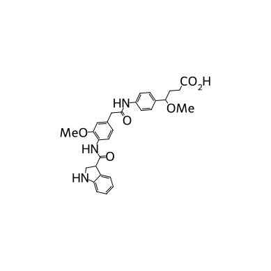 COc1cc(CC(=O)Nc2ccc(C(CCC(=O)O)OC)cc2)ccc1NC(=O)C1CNc2ccccc21